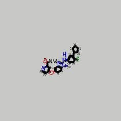 CNC(=O)c1cc(Oc2ccc3c(c2)nc(Nc2ccc(F)c(C4CCCC4)c2)n3C)ccn1